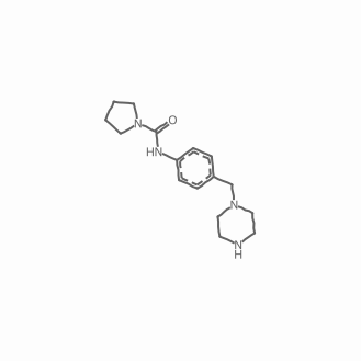 O=C(Nc1ccc(CN2CCNCC2)cc1)N1CCCC1